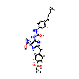 CCCCc1ccc(NC(=O)Nc2[nH]c(Cc3ccc(S(C)(=O)=O)cc3)nc2C(N)=O)cc1